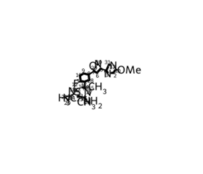 COc1cnc(-c2cc(-c3ccc(F)c([C@]4(C)C[S@@](=NC5CC5)C(C)(C)C(N)=N4)c3)on2)cn1